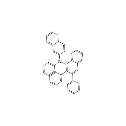 c1ccc(-c2cc3ccccc3c(N(c3ccccc3)c3ccc4ccccc4c3)c2-c2ccccc2)cc1